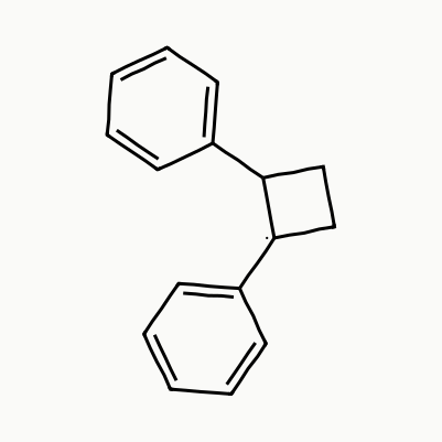 c1ccc([C]2CCC2c2ccccc2)cc1